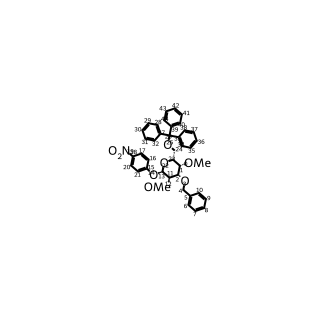 CO[C@@H]1[C@H](OCc2ccccc2)[C@@H](OC)[C@@H](Oc2ccc([N+](=O)[O-])cc2)O[C@@H]1COC(c1ccccc1)(c1ccccc1)c1ccccc1